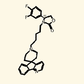 O=C1OC[C@H](c2ccc(F)c(F)c2)N1CCCCCN1CCC2(CC1)c1ccccc1-c1ncccc12